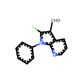 O=Cc1c(F)n(-c2ccccc2)c2ncccc12